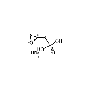 O=P(O)(O)CC1CO1.[NaH]